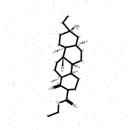 CCOC(=O)C1CC[C@H]2[C@@H]3CC[C@@H]4C[C@@](O)(CC)CC[C@@H]4[C@H]3CC[C@]2(C)C1=O